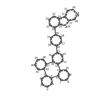 c1ccc2c(c1)-c1ccccc1-c1ccc(-c3ccc(-c4cccc5c4sc4cnccc45)cc3)cc1-c1ccccc1-2